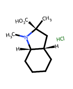 CN1[C@H]2CCCC[C@H]2C[C@]1(C)C(=O)O.Cl